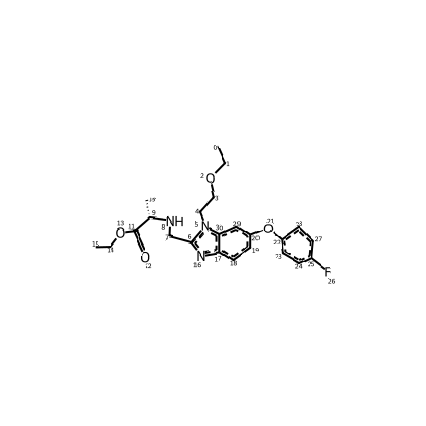 CCOCCn1c(CN[C@@H](C)C(=O)OCC)nc2ccc(Oc3ccc(F)cc3)cc21